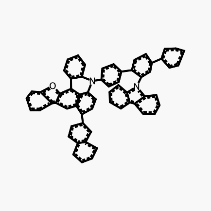 c1ccc(-c2ccc(-c3ccc(N(c4ccc(-c5ccc6ccccc6c5)cc4)c4ccccc4-c4cccc5c4oc4ccccc45)cc3)c(-n3c4ccccc4c4ccccc43)c2)cc1